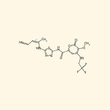 COc1c(NCC(F)(F)F)cc(C(=O)Nc2nnc(N/C(C)=C\C=N)s2)oc1=O